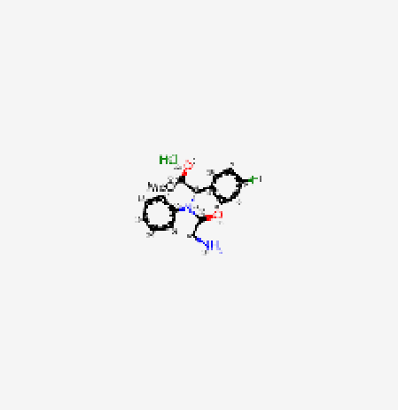 COC(=O)[C@H](c1ccc(F)cc1)N(C(=O)CN)c1ccccc1.Cl